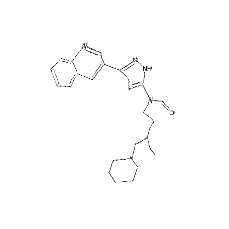 CC(CCN(C=O)c1cc(-c2cnc3ccccc3c2)n[nH]1)CN1CCCCC1